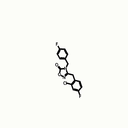 O=c1onc(Cc2ccc(F)cc2Cl)n1Cc1ccc(F)cc1